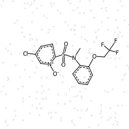 CN(c1ccccc1OCC(F)(F)F)S(=O)(=O)c1ccc(Cl)c[n+]1[O-]